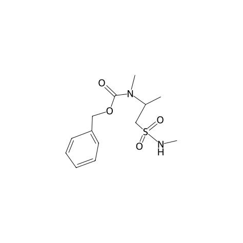 CNS(=O)(=O)CC(C)N(C)C(=O)OCc1ccccc1